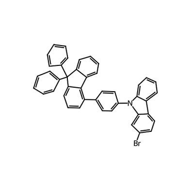 Brc1ccc2c3ccccc3n(-c3ccc(-c4cccc5c4-c4ccccc4C5(c4ccccc4)c4ccccc4)cc3)c2c1